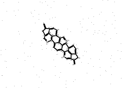 C=C1Cc2cnc3c4ccc5c6ncc7c8c(ccc(c9ncc(c%10ccc1c2c%103)c4c59)c86)CC7=C